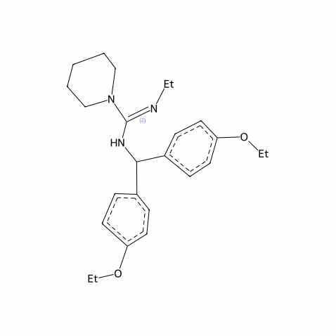 CC/N=C(/NC(c1ccc(OCC)cc1)c1ccc(OCC)cc1)N1CCCCC1